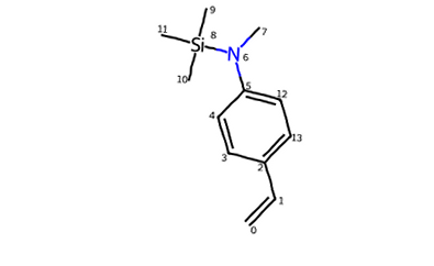 C=Cc1ccc(N(C)[Si](C)(C)C)cc1